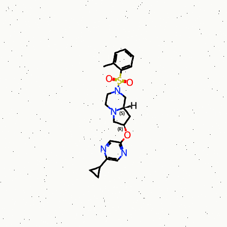 Cc1ccccc1S(=O)(=O)N1CCN2C[C@H](Oc3cnc(C4CC4)cn3)C[C@H]2C1